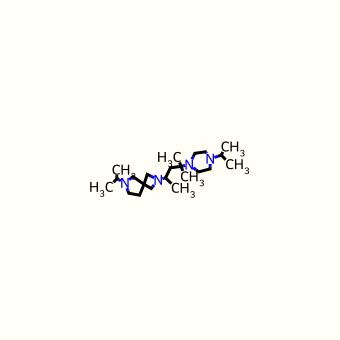 CC(C)N1CCN(C(C)(C)CC(C)N2CC3(CCN(C(C)C)C3)C2)CC1